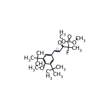 COc1c(C(C)(C)C)cc(/C=C/C(=O)C(C)(F)P(=O)(OC)OC)cc1C(C)(C)C